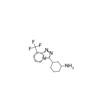 NC1CCCC(c2nnc3c(C(F)(F)F)cccn23)C1